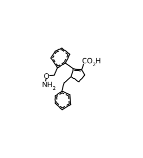 NOCc1ccccc1C1=C(C(=O)O)CCC1Cc1ccccc1